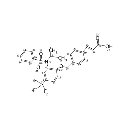 CC(C)N(c1cc(C(F)(F)F)ccc1OCc1ccc(/C=C/C(=O)O)cc1)S(=O)(=O)c1ccccc1